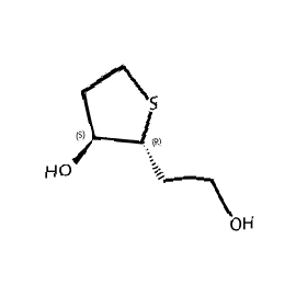 OCC[C@H]1SCC[C@@H]1O